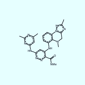 CNC(=O)c1nnc(Nc2cc(C)nc(C)n2)cc1Nc1cccc2c1N(C)Cc1nc(C)nn1-2